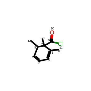 CC1=CC=CC(C)C1(C)C(=O)Cl